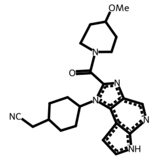 COC1CCN(C(=O)c2nc3cnc4[nH]ccc4c3n2C2CCC(CC#N)CC2)CC1